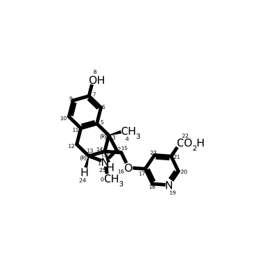 CN1C[C@@]2(C)c3cc(O)ccc3C[C@@H]1[C@H]2COc1cncc(C(=O)O)c1